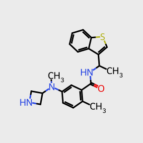 Cc1ccc(N(C)C2CNC2)cc1C(=O)NC(C)c1csc2ccccc12